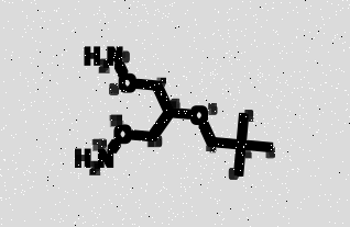 CC(C)(C)COC(CON)CON